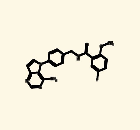 COc1ccc(F)cc1C(=O)NCc1ccc(-n2ccc3ncnc(N)c32)cc1